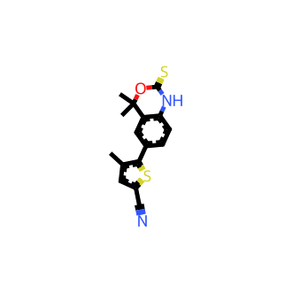 Cc1cc(C#N)sc1-c1ccc2c(c1)C(C)(C)OC(=S)N2